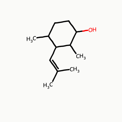 CC(C)=CC1C(C)CCC(O)C1C